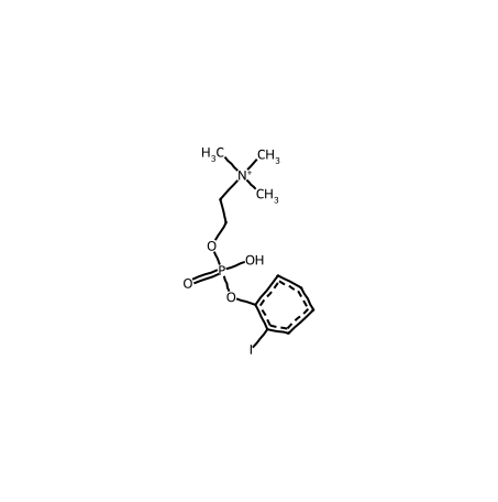 C[N+](C)(C)CCOP(=O)(O)Oc1ccccc1I